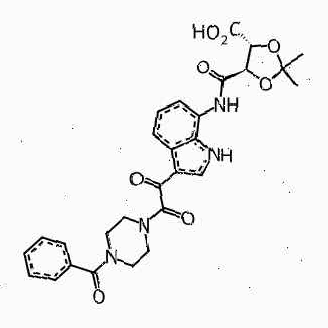 CC1(C)O[C@@H](C(=O)O)[C@H](C(=O)Nc2cccc3c(C(=O)C(=O)N4CCN(C(=O)c5ccccc5)CC4)c[nH]c23)O1